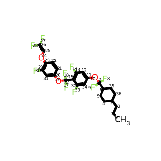 CCCC1CCC(C(F)(F)Oc2cc(F)c(C(F)(F)Oc3ccc(OC=C(F)F)c(F)c3)c(F)c2)CC1